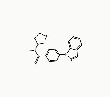 CN(C(=O)c1ccc(-n2ncc3ccccc32)cc1)C1CCNC1